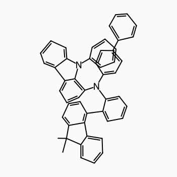 CC1(C)c2ccccc2-c2c(-c3ccccc3N(c3ccc(-c4ccccc4)cc3)c3cccc4c5ccccc5n(-c5ccccc5)c34)cccc21